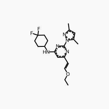 CCO/C=C/c1cc(NC2CCC(F)(F)CC2)nc(-n2nc(C)cc2C)n1